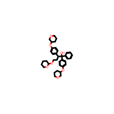 OC(c1ccccc1)(c1ccc(OC2CCCOC2)cc1)C(CCOC1CCCCO1)c1ccc(OC2CCCOC2)cc1